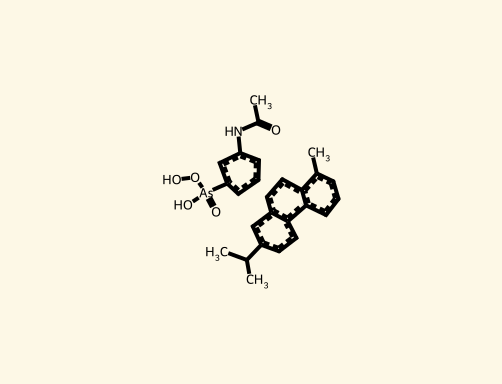 CC(=O)Nc1cccc([As](=O)(O)OO)c1.Cc1cccc2c1ccc1cc(C(C)C)ccc12